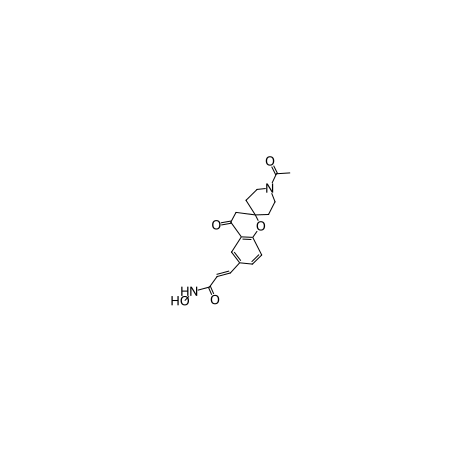 CC(=O)N1CCC2(CC1)CC(=O)c1cc(C=CC(=O)NO)ccc1O2